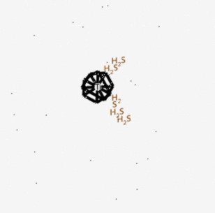 S.S.S.S.S.[CH]12[CH]3[CH]4[CH]5[CH]1[Ti]23451678[CH]2[CH]1[CH]6[CH]7[CH]28